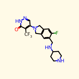 O=c1[nH]ncc(N2Cc3cc(F)c(CNC4CCNCC4)cc3C2)c1C(F)(F)F